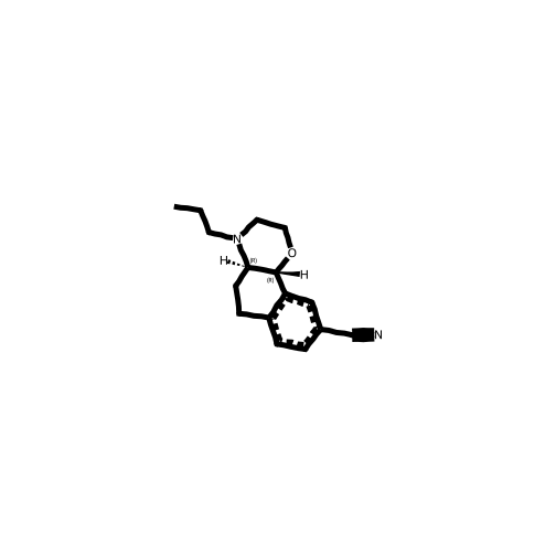 CCCN1CCO[C@@H]2c3cc(C#N)ccc3CC[C@H]21